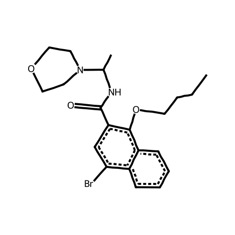 CCCCOc1c(C(=O)NC(C)N2CCOCC2)cc(Br)c2ccccc12